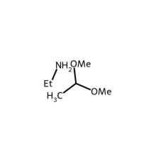 CCN.COC(C)OC